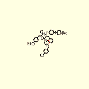 CCOc1ccc(C=CC(=O)N(Cc2ccc(N3CCN(C(C)=O)CC3)cc2)C(Cc2ccccc2)C(=O)N2CCN(Cc3ccc(Cl)cc3)CC2)cc1